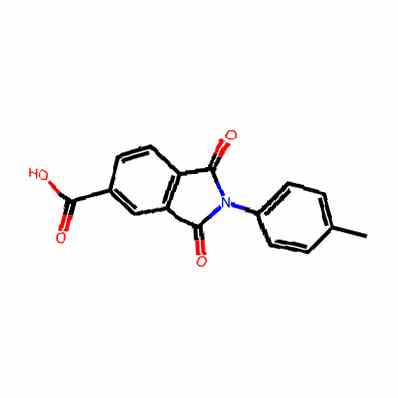 Cc1ccc(N2C(=O)c3ccc(C(=O)O)cc3C2=O)cc1